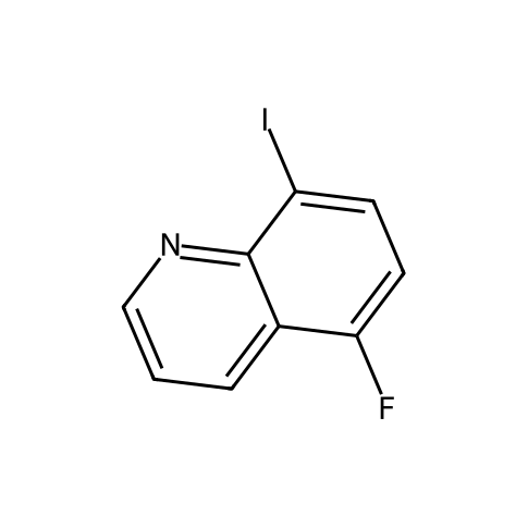 Fc1ccc(I)c2ncccc12